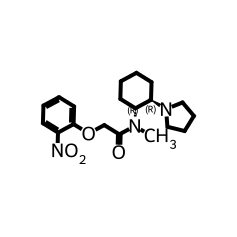 CN(C(=O)COc1ccccc1[N+](=O)[O-])[C@@H]1CCCC[C@H]1N1CCCC1